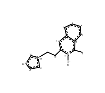 Cc1c2ccccc2nc(CCn2ccnc2)[n+]1[O-]